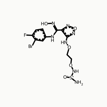 N[S+]([O-])NOCCONc1nonc1/C(=N/O)Nc1ccc(F)c(Br)c1